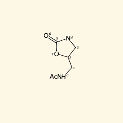 CC(=O)NCC1C[N]C(=O)O1